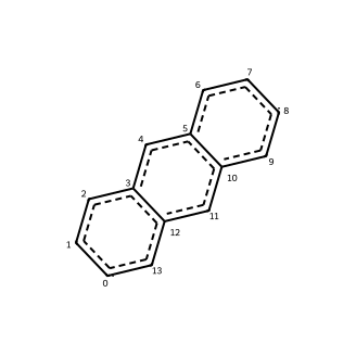 [c]1ccc2cc3cc[c]cc3cc2c1